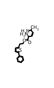 CC(N)/C=C\C(N)C(=O)OCCc1ccc(-c2ccccc2)s1